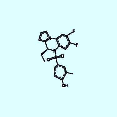 CC[C@H]1c2cccn2-c2cc(F)c(F)cc2N1S(=O)(=O)c1ccc(O)c(C)c1